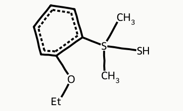 CCOc1ccccc1S(C)(C)S